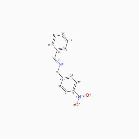 O=[N+]([O-])c1ccc(C/N=C/c2ccccc2)cc1